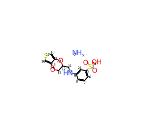 N.O=S(=O)(O)c1cccc(NCC2COc3cscc3O2)c1